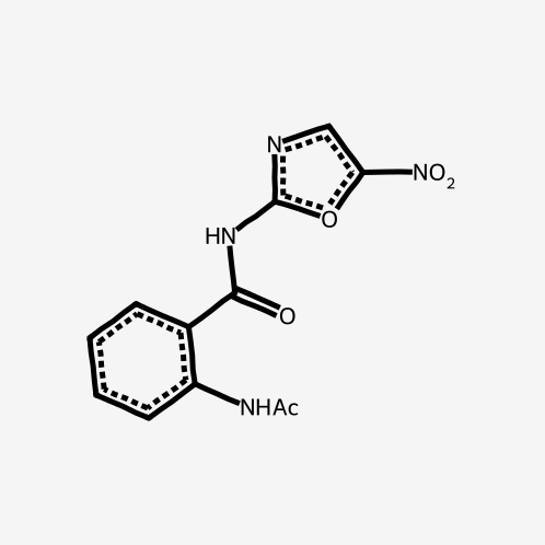 CC(=O)Nc1ccccc1C(=O)Nc1ncc([N+](=O)[O-])o1